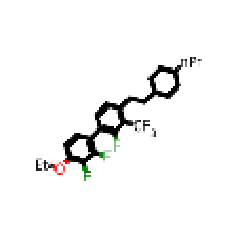 CCCC1CCC(CCc2ccc(-c3ccc(OCC)c(F)c3F)c(F)c2C(F)(F)F)CC1